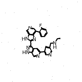 CCNCc1cncc(-c2cc3c(-c4nc5c(-c6ccccc6F)cncc5[nH]4)n[nH]c3cn2)c1